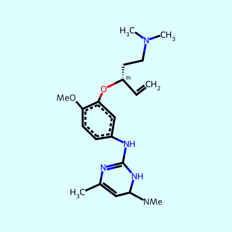 C=C[C@@H](CCN(C)C)Oc1cc(NC2=NC(C)=CC(NC)N2)ccc1OC